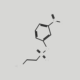 CCCS(=O)(=O)Oc1cccc([N+](=O)[O-])c1